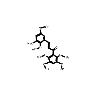 CCCOc1cc(C=CC(=O)c2c(OCCC)c(OCCC)cc(OCCC)c2OCCC)c(OCCC)c(OC)c1